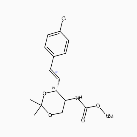 CC(C)(C)OC(=O)NC1COC(C)(C)O[C@@H]1/C=C/c1ccc(Cl)cc1